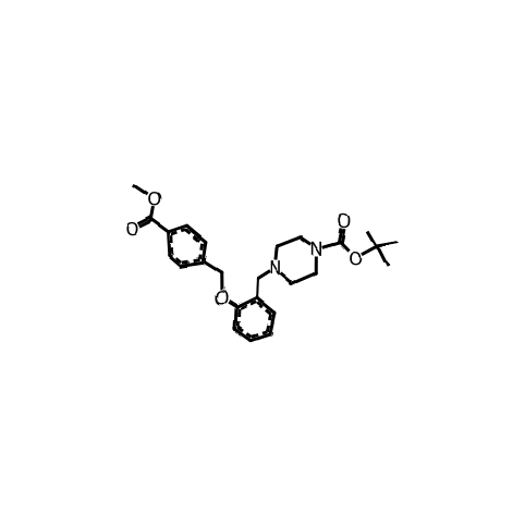 COC(=O)c1ccc(COc2ccccc2CN2CCN(C(=O)OC(C)(C)C)CC2)cc1